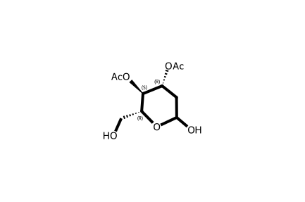 CC(=O)O[C@H]1[C@H](OC(C)=O)CC(O)O[C@@H]1CO